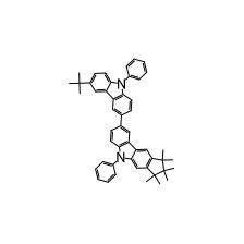 CC(C)(C)c1ccc2c(c1)c1cc(-c3ccc4c(c3)c3cc5c(cc3n4-c3ccccc3)C(C)(C)C(C)(C)C5(C)C)ccc1n2-c1ccccc1